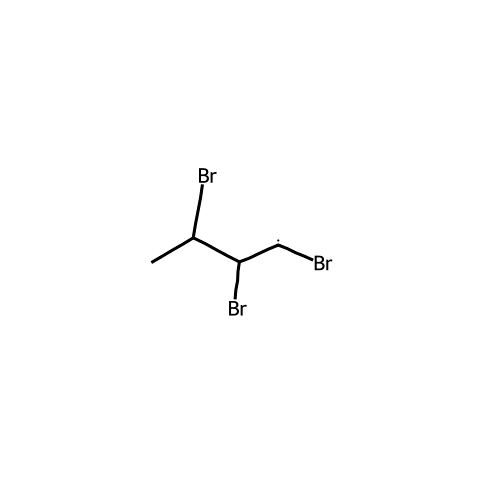 CC(Br)C(Br)[CH]Br